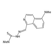 CNC(=S)N/N=C/c1nccc2c(NC)cccc12